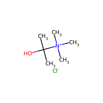 CC(C)(O)[N+](C)(C)C.[Cl-]